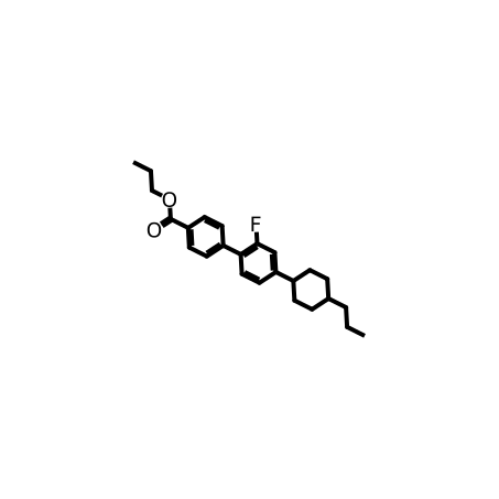 CCCOC(=O)c1ccc(-c2ccc(C3CCC(CCC)CC3)cc2F)cc1